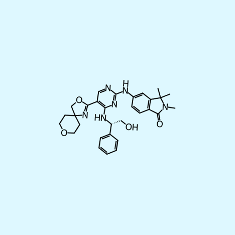 CN1C(=O)c2ccc(Nc3ncc(C4=NC5(CCOCC5)CO4)c(N[C@H](CO)c4ccccc4)n3)cc2C1(C)C